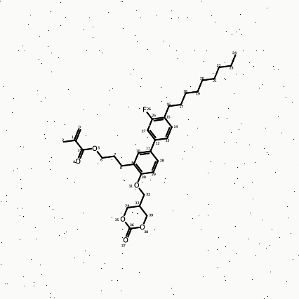 C=C(C)C(=O)OCCCc1cc(-c2ccc(CCCCCCCCC)c(F)c2)ccc1OCC1COC(=O)OC1